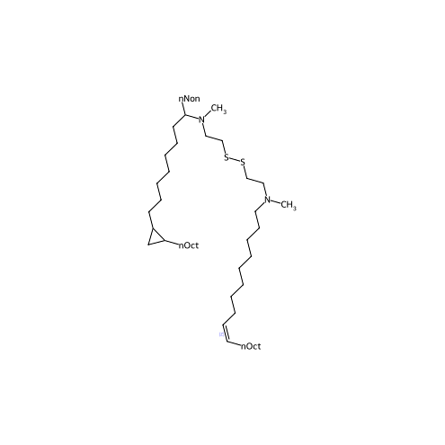 CCCCCCCC/C=C\CCCCCCCCN(C)CCSSCCN(C)C(CCCCCCCCC)CCCCCCCC1CC1CCCCCCCC